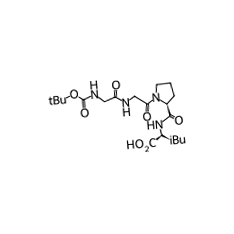 CC[C@H](C)[C@H](NC(=O)[C@@H]1CCCN1C(=O)CNC(=O)CNC(=O)OC(C)(C)C)C(=O)O